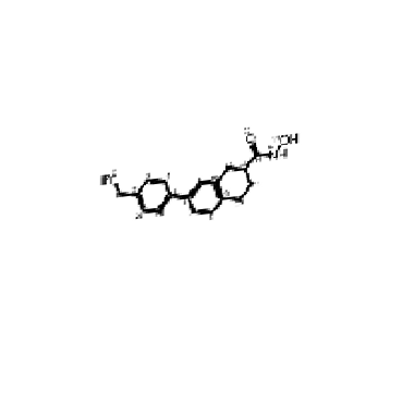 CC(C)Cc1ccc(-c2ccc3c(c2)CC(C(=O)NO)CC3)cc1